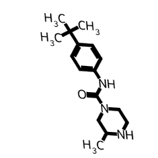 CC1CN(C(=O)Nc2ccc(C(C)(C)C)cc2)CCN1